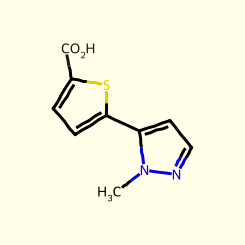 Cn1nccc1-c1ccc(C(=O)O)s1